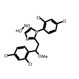 COC(Cc1nccn1-c1ccc(Cl)cc1Cl)c1ccc(Cl)cc1Cl.O=[N+]([O-])O